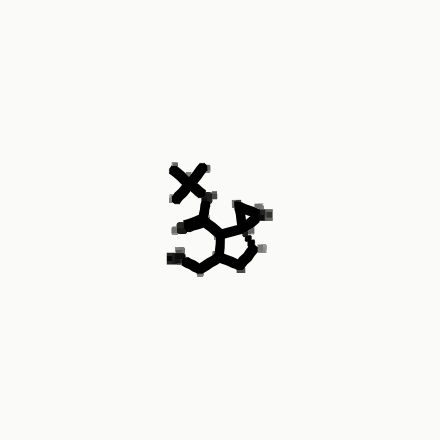 CC(C)(C)OC(=O)C1C(CO)CC[C@@]12CN2